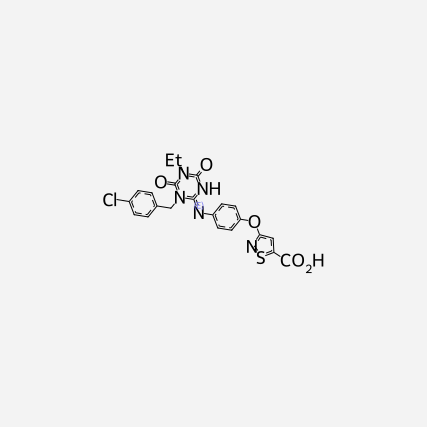 CCn1c(=O)[nH]/c(=N\c2ccc(Oc3cc(C(=O)O)sn3)cc2)n(Cc2ccc(Cl)cc2)c1=O